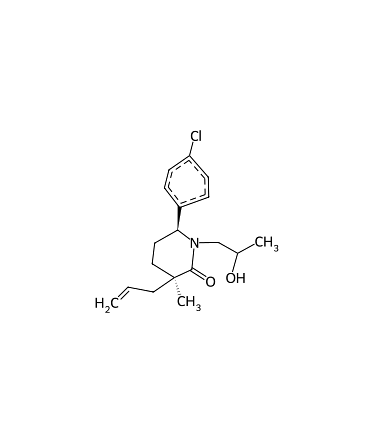 C=CC[C@@]1(C)CC[C@@H](c2ccc(Cl)cc2)N(CC(C)O)C1=O